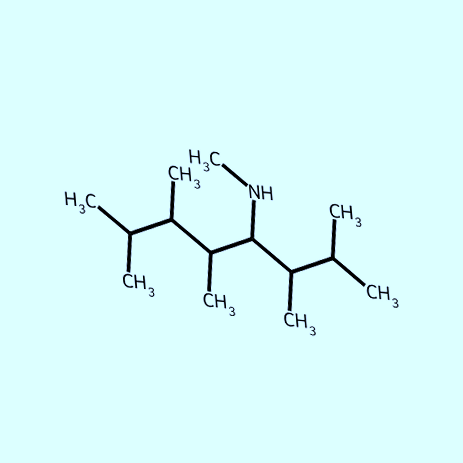 CNC(C(C)C(C)C)C(C)C(C)C(C)C